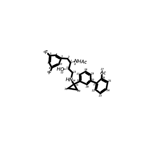 CC(=O)N[C@@H](Cc1cc(F)cc(F)c1)[C@@H](O)CNC1(c2cccc(-c3ccccc3C(C)=O)c2)CC1